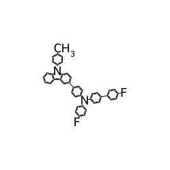 Cc1ccc(-n2c3ccccc3c3cc(-c4ccc(N(c5ccc(F)cc5)c5ccc(-c6ccc(F)cc6)cc5)cc4)ccc32)cc1